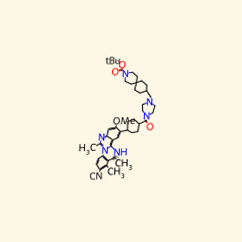 COc1cc2nc(C)nc(N[C@H](C)c3cccc(C#N)c3C)c2cc1C1CCC(C(=O)N2CCN(CC3CCC4(CC3)CCN(C(=O)OC(C)(C)C)CC4)CC2)CC1